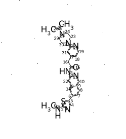 CNc1ncc(-c2ccc3cnc(NC(=O)Cc4ccnc(N5CCN(C(C)C)CC5)c4)cc3c2)s1